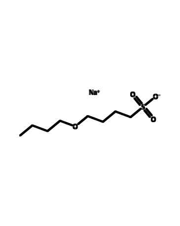 CCCCOCCCCS(=O)(=O)[O-].[Na+]